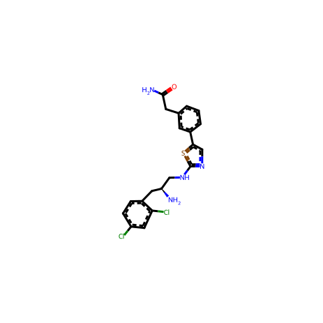 NC(=O)Cc1cccc(-c2cnc(NC[C@@H](N)Cc3ccc(Cl)cc3Cl)s2)c1